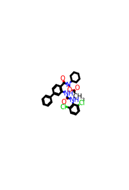 CC(=O)ON(C(=O)c1ccc(-c2ccccc2)cc1NC(=O)Nc1c(Cl)cccc1Cl)C1CCCCC1